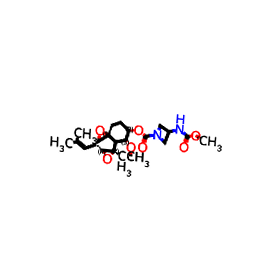 COC(=O)NC1CN(C(=O)O[C@@H]2CC[C@]3(CO3)C([C@@]3(C)O[C@@H]3CC=C(C)C)[C@@H]2OC)C1